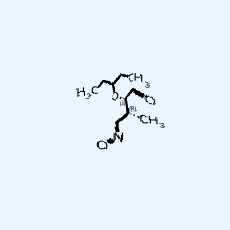 CCC(CC)O[C@H](C=O)[C@H](C)CN=O